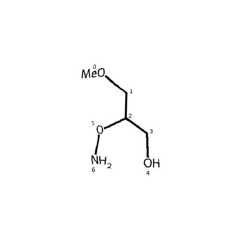 COCC(CO)ON